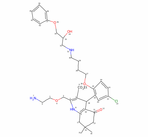 CCOC(=O)C1=C(COCCN)NC2=C(C(=O)CC(C)(C)C2)C1c1cc(Cl)ccc1OCCCCNCC(O)COc1ccccc1